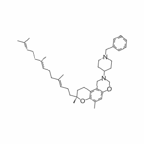 CC(C)=CCC/C(C)=C/CC/C(C)=C/CC[C@]1(C)CCc2c3c(cc(C)c2O1)OCN(C1CCN(Cc2ccccc2)CC1)C3